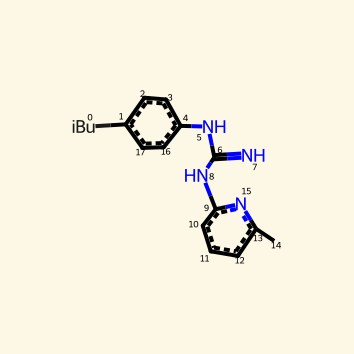 CCC(C)c1ccc(NC(=N)Nc2cccc(C)n2)cc1